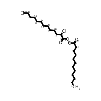 CCCCCCCCCCCC(=O)OOC(=O)C(Cl)CCCCCCCCCCCl